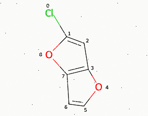 Clc1cc2occc2o1